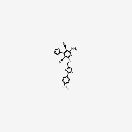 Cc1ccc(-c2nc(CSc3nc(N)c(C#N)c(-c4cccs4)c3C#N)cs2)cc1